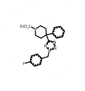 CCOC(=O)N1CCC(c2ccccc2)(c2nnn(Cc3ccc(F)cc3)n2)CC1